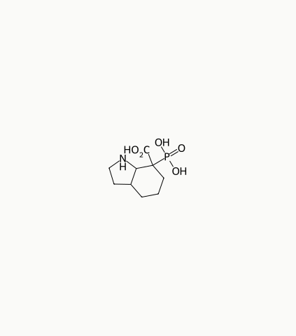 O=C(O)C1(P(=O)(O)O)CCCC2CCNC21